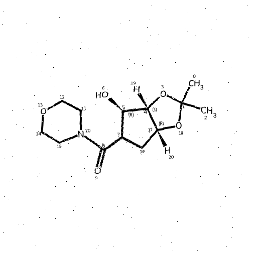 CC1(C)O[C@H]2[C@H](O)C(C(=O)N3CCOCC3)C[C@H]2O1